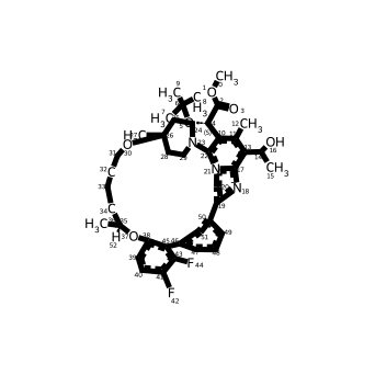 COC(=O)[C@@H](OC(C)(C)C)c1c(C)c(C(C)O)c2nc3cn2c1N1CCC(C)(CC1)OCCCC[C@H](C)Oc1ccc(F)c(F)c1-c1cccc-3c1